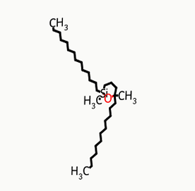 CCCCCCCCCCCCCC[Si]1(C)CCCC(C)(CCCCCCCCCCCC)O1